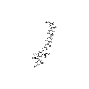 CCN(C(=O)[C@@H]1CCN(CC(=O)N2CC=C(c3ccc(C(=N)OC(=O)NC)cc3)CC2)C1)c1ccc(N)c(C(=N)/C(C=N)=C/NC(C)C)c1